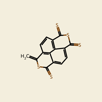 C=c1sc(=S)c2ccc3c4c(ccc1c42)C(=S)SC3=S